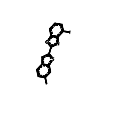 Cc1ccc2cc(-c3nc4c(I)cccc4o3)sc2c1